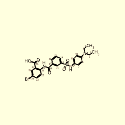 CCN(CC)c1ccc(NS(=O)(=O)c2cccc(C(=O)Nc3ccc(Br)cc3C(=O)O)c2)cc1